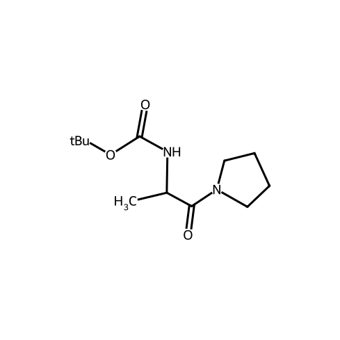 CC(NC(=O)OC(C)(C)C)C(=O)N1CCCC1